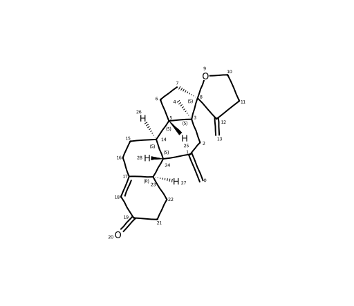 C=C1C[C@@]2(C)[C@@H](CC[C@@]23OCCC3=C)[C@@H]2CCC3=CC(=O)CC[C@@H]3[C@@H]12